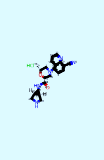 C[C@@H]1CN(c2ccc(C#N)c3ncccc23)C[C@H](C(=O)NC2[C@H]3CNC[C@@H]23)O1.Cl